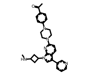 CNC1CC(n2cc(-c3cccnc3)c3ccc(N4CCN(c5ccc(C(C)=O)cc5)CC4)nc32)C1